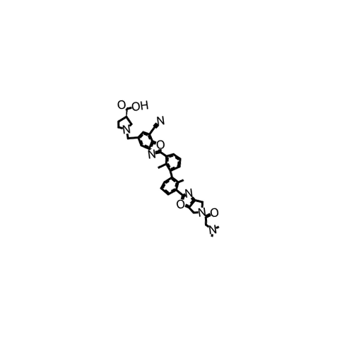 Cc1c(-c2nc3c(o2)CN(C(=O)CN(C)C)C3)cccc1-c1cccc(-c2nc3cc(CN4CC[C@@H](C(=O)O)C4)cc(C#N)c3o2)c1C